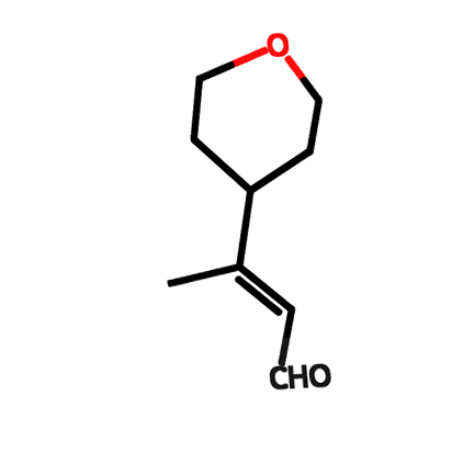 CC(=CC=O)C1CCOCC1